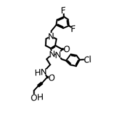 O=C(C#CCO)NCCn1c2c(c(=O)n1Cc1ccc(Cl)cc1)CN(Cc1cc(F)cc(F)c1)CC2